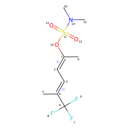 C/C(=C\C=C(/C)C(F)(F)F)OS(=O)(=O)N(C)C